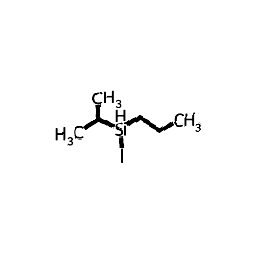 CCC[SiH](I)C(C)C